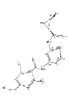 N#CCc1cc(Cl)c(C(=O)Nc2ccnc(NC(=O)[C@H]3C[C@H]3F)c2)c(Cl)c1